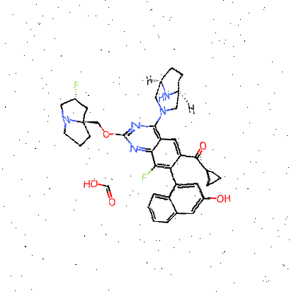 O=C(c1cc2c(N3C[C@H]4CC[C@@H](C3)N4)nc(OC[C@@]34CCCN3C[C@H](F)C4)nc2c(F)c1-c1cc(O)cc2ccccc12)C1CC1.O=CO